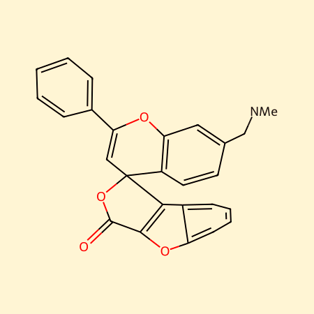 CNCc1ccc2c(c1)OC(c1ccccc1)=CC21OC(=O)c2oc3ccccc3c21